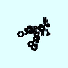 CC(C)(C)[C@H](NC(=O)CC1CCCCC1)C(=O)N1C[C@@]2(CC(c3cccc4cccnc34)=NO2)C[C@H]1C(=O)N[C@@H](CC1CC1)C(=O)C(N)=O